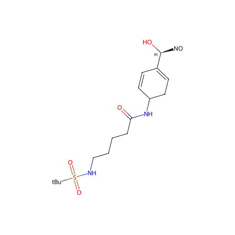 CC(C)(C)S(=O)(=O)NCCCCC(=O)NC1C=CC([C@@H](O)N=O)=CC1